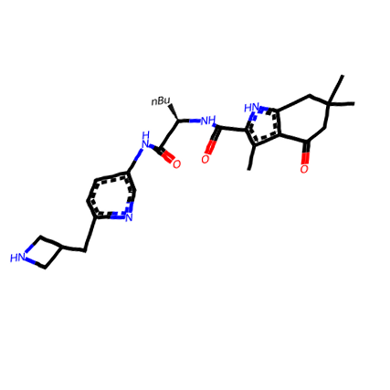 CCCC[C@@H](NC(=O)c1[nH]c2c(c1C)C(=O)CC(C)(C)C2)C(=O)Nc1ccc(CC2CNC2)nc1